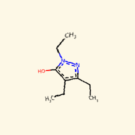 CCc1nn(CC)c(O)c1CC